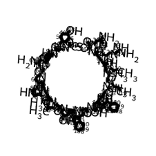 CCCC[C@H]1C(=O)N(C)[C@@H](CCCC)C(=O)N[C@@H](CCCNC(=N)N)C(=O)NC(C(=O)NCC(N)=O)CSCC(=O)N[C@@H](Cc2ccc(O)cc2)C(=O)NC2(CC2)C(=O)N[C@@H](CC(N)=O)C(=O)N2CCC[C@H]2C(=O)N[C@@H](Cc2c[nH]cn2)C(=O)N[C@H](CC(C)C)C(=O)N2C[C@H](O)C[C@H]2C(=O)NC(Cc2c[nH]c3ccccc23)C(=O)N[C@@H](CO)C(=O)N[C@@H](Cc2c[nH]c3ccccc23)C(=O)N1C